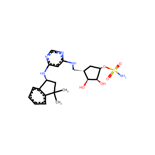 CC1(C)C[C@H](Nc2cc(NC[C@@H]3C[C@H](OS(N)(=O)=O)[C@@H](O)[C@H]3O)ncn2)c2ccccc21